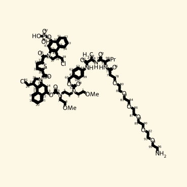 COCCN(CCN(CCOC)C(=O)Oc1cc2c(c3ccccc13)C(CCl)CN2C(=O)c1ccc(C(=O)N2CC(CCl)c3c2cc(OP(=O)(O)O)c2ccccc32)s1)C(=O)OCc1ccc(NC(=O)C(C)NC(=O)C(NC(=O)CCOCCOCCOCCOCCOCCOCCN)C(C)C)cc1